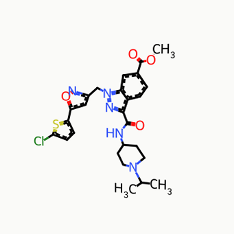 COC(=O)c1ccc2c(C(=O)NC3CCN(C(C)C)CC3)nn(Cc3cc(-c4ccc(Cl)s4)on3)c2c1